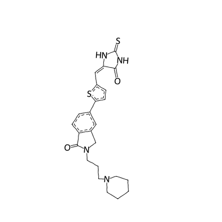 O=C1NC(=S)NC1=Cc1ccc(-c2ccc3c(c2)CN(CCCN2CCCCC2)C3=O)s1